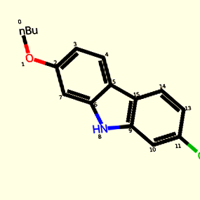 CCCCOc1ccc2c(c1)[nH]c1cc(Cl)ccc12